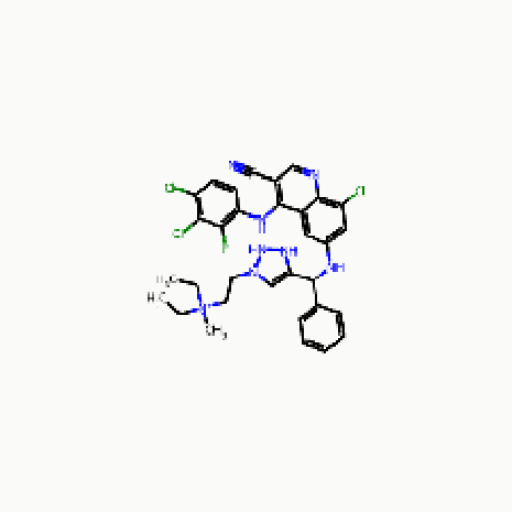 CC[N+](C)(CC)CCN1C=C([C@@H](Nc2cc(Cl)c3ncc(C#N)c(Nc4ccc(Cl)c(Cl)c4F)c3c2)c2ccccc2)NN1